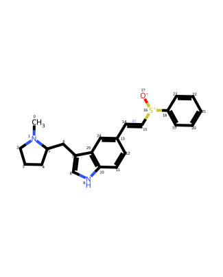 CN1CCCC1Cc1c[nH]c2ccc(/C=C/[S+]([O-])c3ccccc3)cc12